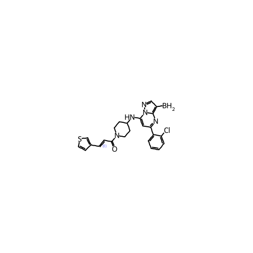 Bc1cnn2c(NC3CCN(C(=O)/C=C/c4ccsc4)CC3)cc(-c3ccccc3Cl)nc12